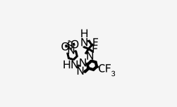 CS(=O)(=O)N1CCC(Nc2ncc3cc(C(F)(F)F)cc(N4CC5(CNCC5(F)F)C4)c3n2)CC1